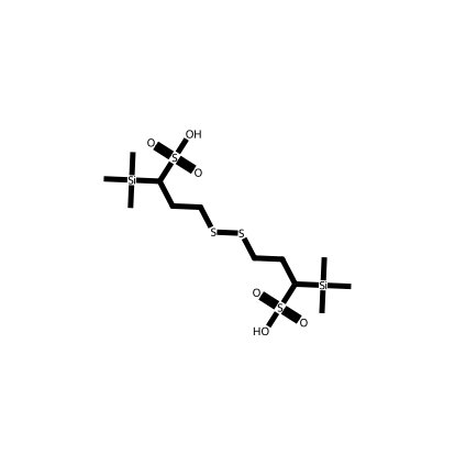 C[Si](C)(C)C(CCSSCCC([Si](C)(C)C)S(=O)(=O)O)S(=O)(=O)O